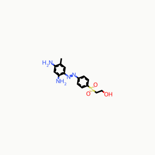 Cc1cc(N=Nc2ccc(S(=O)(=O)CCO)cc2)c(N)cc1N